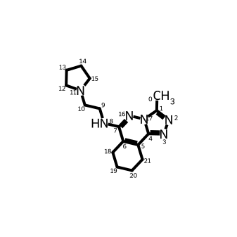 Cc1nnc2c3c(c(NCCN4CCCC4)nn12)CCCC3